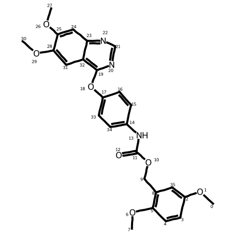 COc1ccc(OC)c(COC(=O)Nc2ccc(Oc3ncnc4cc(OC)c(OC)cc34)cc2)c1